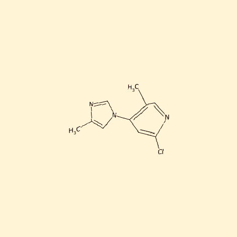 Cc1cn(-c2cc(Cl)ncc2C)cn1